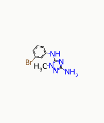 Cn1nc(N)nc1Nc1cccc(Br)c1